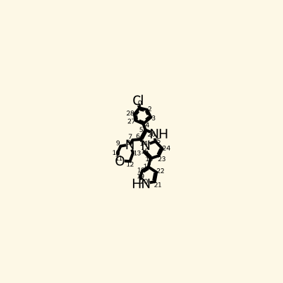 Clc1ccc(C2=C(CN3CCOCC3)N3C=C(C4=CCNC=C4)C=CC3N2)cc1